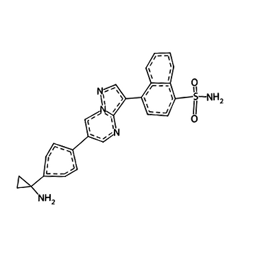 NC1(c2ccc(-c3cnc4c(-c5ccc(S(N)(=O)=O)c6ccccc56)cnn4c3)cc2)CC1